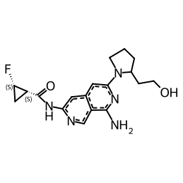 Nc1nc(N2CCCC2CCO)cc2cc(NC(=O)[C@@H]3C[C@@H]3F)ncc12